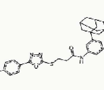 Cc1ccc(-c2nnc(SCCC(=O)Nc3cccc(C45CC6CC(CC(C6)C4)C5)c3)o2)cc1